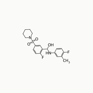 Cc1cc(NC(O)c2cc(S(=O)(=O)N3CCCCC3)ccc2F)ccc1F